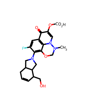 CN1COc2c(N3CC4CC=CC(CO)C4C3)c(F)cc3c(=O)c(OC(=O)O)cn1c23